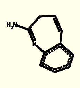 NC1=Nc2ccccc2C=CC1